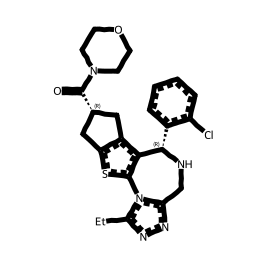 CCc1nnc2n1-c1sc3c(c1[C@H](c1ccccc1Cl)NC2)C[C@@H](C(=O)N1CCOCC1)C3